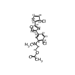 CC(=O)OCCN(C)c1cc(-c2noc(-c3sccc3Cl)n2)ccc1Cl